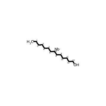 CCCCCCCCCCCCCCO.[Nb]